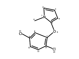 Cn1[c]ccc1Oc1cc(Cl)ccc1Cl